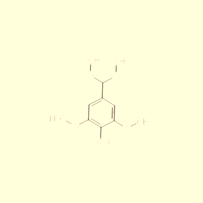 COc1cc(C(OC)OC)cc(OC)c1O